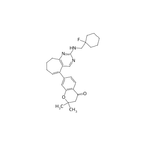 CC1(C)CC(=O)c2ccc(C3=CCCCc4nc(NCC5(F)CCCCC5)ncc43)cc2O1